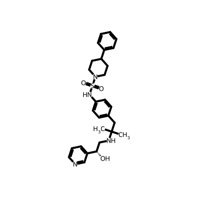 CC(C)(Cc1ccc(NS(=O)(=O)N2CCC(c3ccccc3)CC2)cc1)NC[C@H](O)c1cccnc1